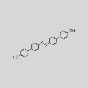 Oc1ccc(-c2ccc(SSc3ccc(-c4ccc(O)cc4)cc3)cc2)cc1